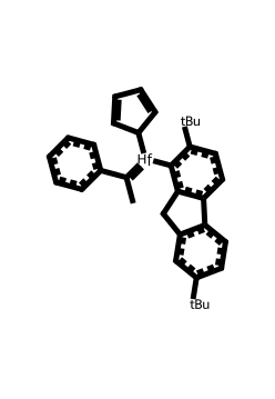 C[C](c1ccccc1)=[Hf]([c]1c(C(C)(C)C)ccc2c1Cc1cc(C(C)(C)C)ccc1-2)[CH]1C=CC=C1